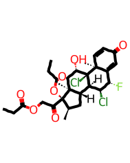 CCC(=O)OCC(=O)[C@]1(OC(=O)CC)[C@H](C)C[C@H]2[C@@H]3[C@H](Cl)[C@@H](F)C4=CC(=O)C=C[C@]4(C)[C@@]3(Cl)[C@@H](O)C[C@@]21C